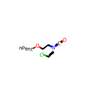 C=CCl.CCCCCOCCN=C=O